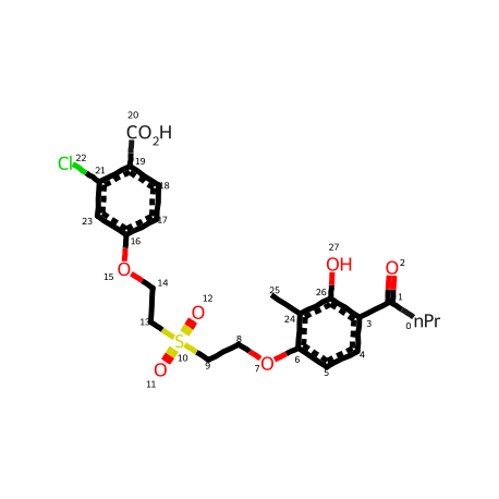 CCCC(=O)c1ccc(OCCS(=O)(=O)CCOc2ccc(C(=O)O)c(Cl)c2)c(C)c1O